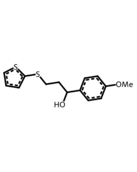 COc1ccc(C(O)CCSc2cccs2)cc1